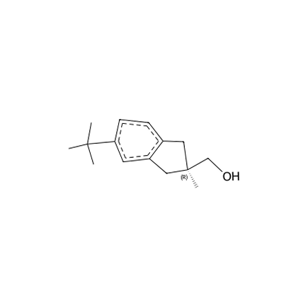 CC(C)(C)c1ccc2c(c1)C[C@](C)(CO)C2